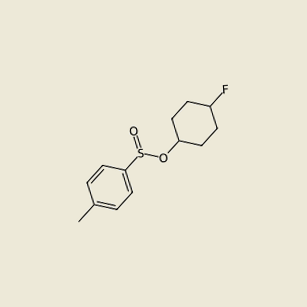 Cc1ccc(S(=O)OC2CCC(F)CC2)cc1